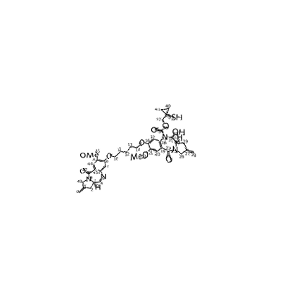 C=C1C[C@H]2C=Nc3cc(OCCCCCOc4cc5c(cc4OC)C(=O)N4CC(=C)C[C@H]4[C@H](O)N5C(=O)OCC4(S)CC4)c(OC)cc3C(=O)N2C1